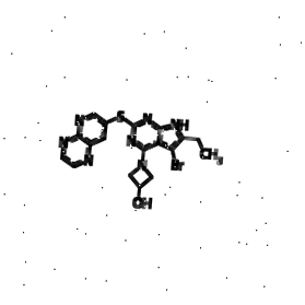 CCc1[nH]c2nc(Sc3cnc4nccnc4c3)nc(N3CC(O)C3)c2c1Br